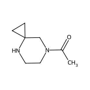 CC(=O)N1CCNC2(CC2)C1